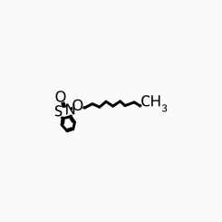 CCCCCCCCCCOn1c(=O)sc2ccccc21